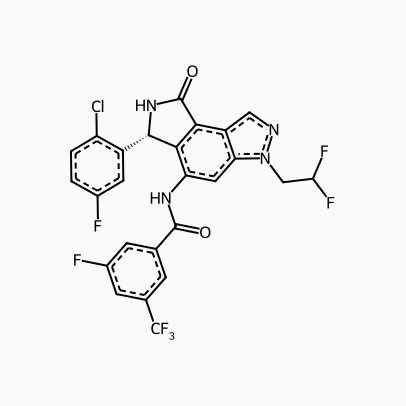 O=C(Nc1cc2c(cnn2CC(F)F)c2c1[C@H](c1cc(F)ccc1Cl)NC2=O)c1cc(F)cc(C(F)(F)F)c1